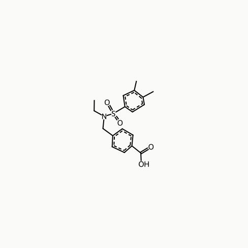 CCN(Cc1ccc(C(=O)O)cc1)S(=O)(=O)c1ccc(C)c(C)c1